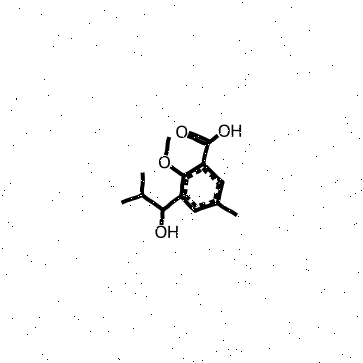 COc1c(C(=O)O)cc(C)cc1C(O)C(C)C